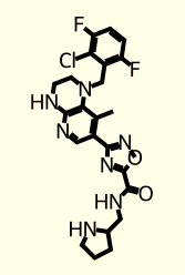 Cc1c(-c2noc(C(=O)NCC3CCCN3)n2)cnc2c1N(Cc1c(F)ccc(F)c1Cl)CCN2